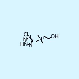 C[N+](C)(C)CCO.[Cl-].c1nn[nH]n1